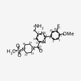 COc1ccc(-c2nc(CN)cc(C(=O)N3CCN(S(C)(=O)=O)CC3)n2)cc1F